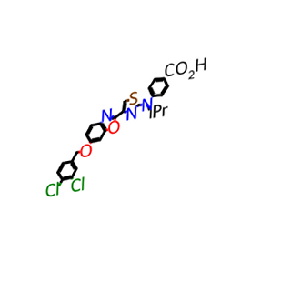 CC(C)N(c1ccc(C(=O)O)cc1)c1nc(-c2nc3ccc(OCc4ccc(Cl)c(Cl)c4)cc3o2)cs1